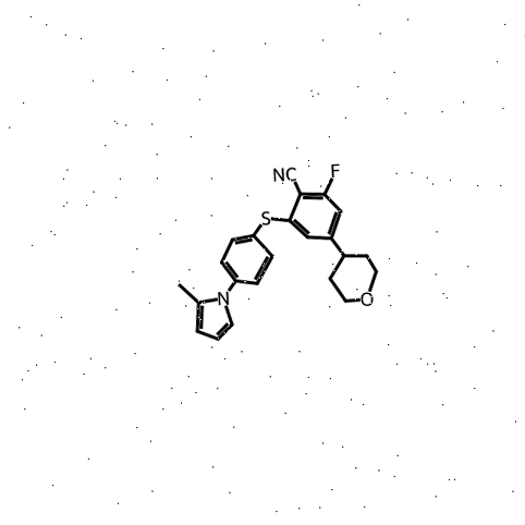 Cc1cccn1-c1ccc(Sc2cc(C3CCOCC3)cc(F)c2C#N)cc1